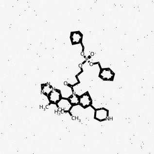 Cc1c(-c2c(C(C)C)c3cc(C4CCNCC4)ccc3n2C(=O)CCCOP(=O)(OCc2ccccc2)OCc2ccccc2)cn2ncnc2c1C